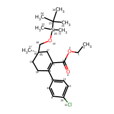 CCOC(=O)C1=C(c2ccc(Cl)cc2)CC[C@@](C)(CO[Si](C)(C)C(C)(C)C)C1